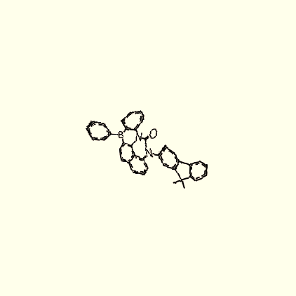 CC1(C)c2ccccc2-c2ccc(N3C(=O)N4c5ccccc5B(c5ccccc5)c5ccc6cccc3c6c54)cc21